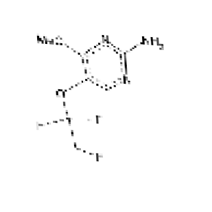 COc1nc(N)ncc1OC(F)(F)CF